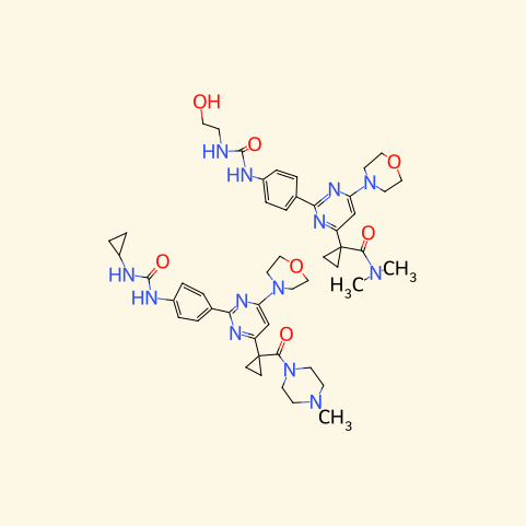 CN(C)C(=O)C1(c2cc(N3CCOCC3)nc(-c3ccc(NC(=O)NCCO)cc3)n2)CC1.CN1CCN(C(=O)C2(c3cc(N4CCOCC4)nc(-c4ccc(NC(=O)NC5CC5)cc4)n3)CC2)CC1